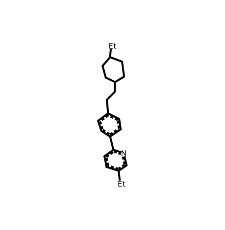 CCc1ccc(-c2ccc(CCC3CCC(CC)CC3)cc2)nc1